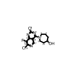 OC1CCCN(c2nc(Cl)nc3c(F)c(Cl)ncc23)CC1